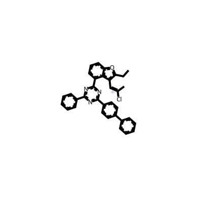 CCc1oc2cccc(-c3nc(-c4ccccc4)nc(-c4ccc(-c5ccccc5)cc4)n3)c2c1/C=C(\C)Cl